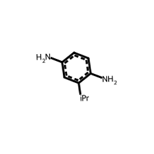 CC(C)c1cc(N)ccc1N